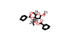 CCO[C@H]1O[C@@H]2CO[C@@H](c3ccccc3)O[C@H]2[C@@H](O[Si](C)(C)C(C)(C)C)[C@H]1OC(=O)c1ccccc1